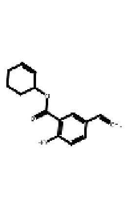 C=Cc1ccc(O)c(C(=O)OC2C=CCCC2)c1